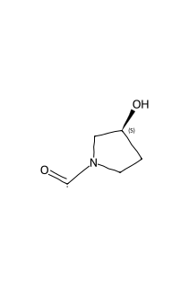 O=[C]N1CC[C@H](O)C1